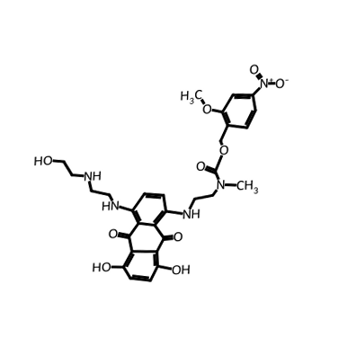 COc1cc([N+](=O)[O-])ccc1COC(=O)N(C)CCNc1ccc(NCCNCCO)c2c1C(=O)c1c(O)ccc(O)c1C2=O